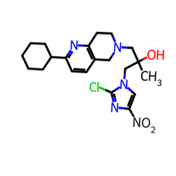 CC(O)(CN1CCc2nc(C3CCCCC3)ccc2C1)Cn1cc([N+](=O)[O-])nc1Cl